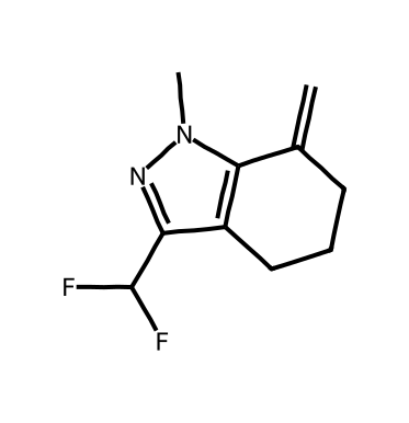 C=C1CCCc2c(C(F)F)nn(C)c21